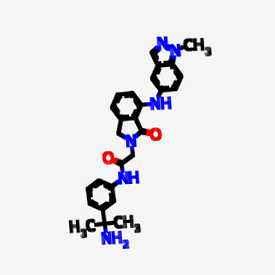 Cn1ncc2cc(Nc3cccc4c3C(=O)N(CC(=O)Nc3cccc(C(C)(C)N)c3)C4)ccc21